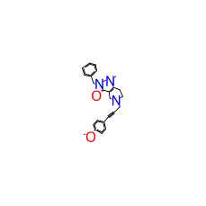 COc1ccc(C#CCN2CCC3=C(C2)C(=O)N(Cc2ccccc2)CN3C)cc1